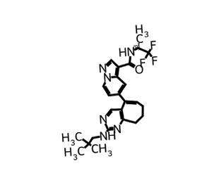 C[C@@H](NC(=O)c1cnn2ccc(C3=CCCCc4nc(NCC(C)(C)C)ncc43)cc12)C(F)(F)F